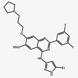 CCc1cc(Nc2nc(-c3cc(F)cc(F)c3)nc3cc(OCCCN4CCCC4)c(OC)cc23)n[nH]1